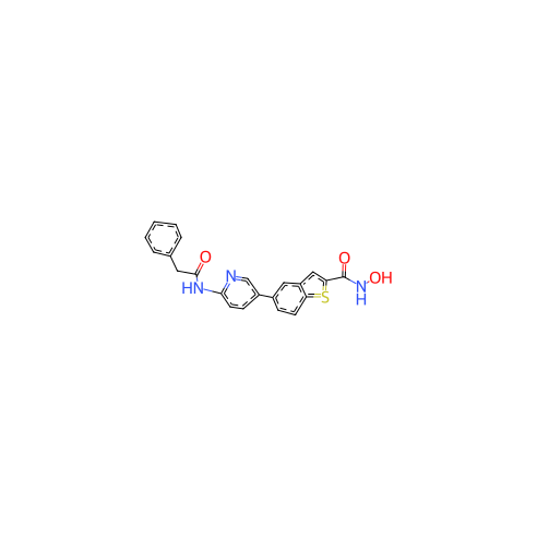 O=C(Cc1ccccc1)Nc1ccc(-c2ccc3sc(C(=O)NO)cc3c2)cn1